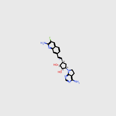 Nc1nc2cc(/C=C/[C@H]3C[C@@H](N4CCc5c(N)ncnc54)[C@H](O)[C@@H]3O)ccc2cc1F